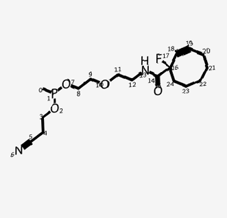 CP(OCCC#N)OCCOCCNC(=O)[C@]1(F)C#CCCCCC1